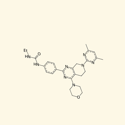 CCNC(=O)Nc1ccc(-c2nc3c(c(N4CCOCC4)n2)CCN(c2nc(C)cc(C)n2)C3)cc1